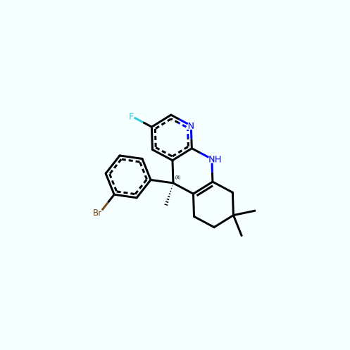 CC1(C)CCC2=C(C1)Nc1ncc(F)cc1[C@]2(C)c1cccc(Br)c1